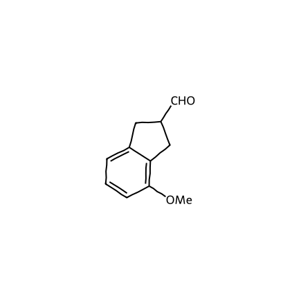 COc1cccc2c1CC(C=O)C2